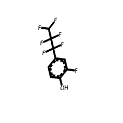 Oc1ccc(C(F)(F)C(F)(F)C(F)F)cc1F